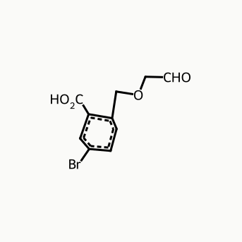 O=CCOCc1ccc(Br)cc1C(=O)O